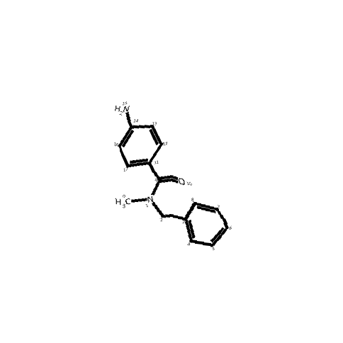 CN(Cc1ccccc1)C(=O)c1ccc(N)cc1